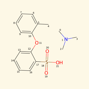 CN(C)C.Cc1ccccc1Oc1ccccc1S(=O)(=O)O